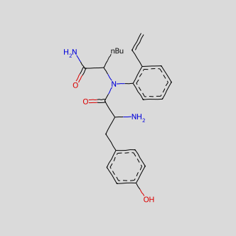 C=Cc1ccccc1N(C(=O)C(N)Cc1ccc(O)cc1)C(CCCC)C(N)=O